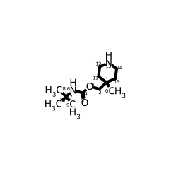 CC1(COC(=O)NC(C)(C)C)CCNCC1